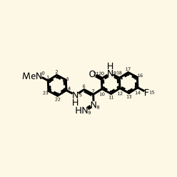 CNc1ccc(N/C=C(\N=N)c2cc3cc(F)ccc3[nH]c2=O)cc1